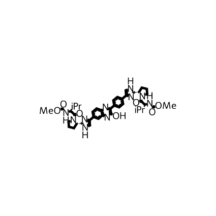 COC(=O)N[C@H](C(=O)N1CCC[C@H]1c1nc(-c2ccc(-c3nc4ccc(-c5c[nH]c([C@@H]6CCCN6C(=O)[C@@H](NC(=O)OC)C(C)C)n5)cc4nc3O)cc2)c[nH]1)C(C)C